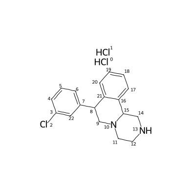 Cl.Cl.Clc1cccc(C2CN3CCNCC3c3ccccc32)c1